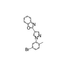 Cc1ccc(Br)cc1-n1cc(-c2nc3ccccc3o2)cn1